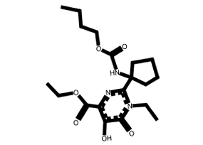 CCCCOC(=O)NC1(c2nc(C(=O)OCC)c(O)c(=O)n2CC)CCCC1